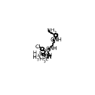 Cc1sc2c(c1C)C(c1ccc(Cl)cc1)=N[C@@H](CC(=O)NCCCCC(=O)Nc1cccc(C#CCN)c1)c1nnc(C)n1-2